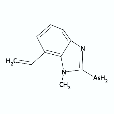 C=Cc1cccc2nc([AsH2])n(C)c12